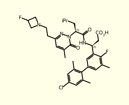 Cc1cc(-c2c(C)cc(Cl)cc2C)cc([C@H](CC(=O)O)NC(=O)[C@H](CC(C)C)n2nc(CCN3CC(F)C3)cc(C)c2=O)c1F